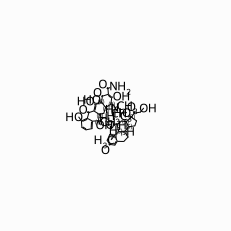 CN(C)[C@@H]1C(O)=C(C(N)=O)C(=O)[C@@]2(O)C(O)=C3C(=O)c4c(O)cccc4[C@@](C)(O)[C@H]3C[C@@H]12.C[C@]12CCC(=O)C=C1CC[C@@H]1[C@@H]2C(=O)C[C@@]2(C)[C@H]1CC[C@]2(O)C(=O)CO